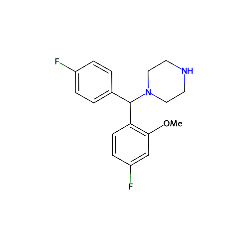 COc1cc(F)ccc1C(c1ccc(F)cc1)N1CCNCC1